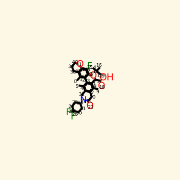 Cc1c(-c2c(C)c3c(c(C)c2C(OC(C)(C)C)C(=O)O)CC(=O)N(C2CCC(F)(F)CC2)C3)cc(F)c2c1CCCO2